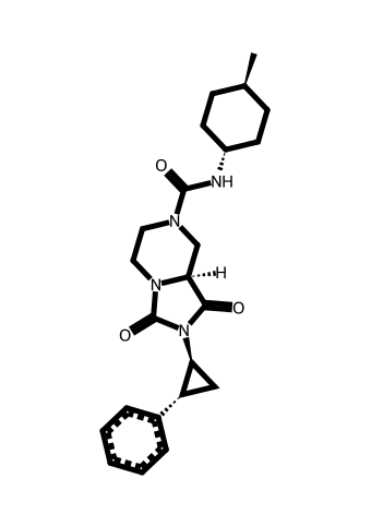 C[C@H]1CC[C@H](NC(=O)N2CCN3C(=O)N([C@H]4C[C@@H]4c4ccccc4)C(=O)[C@@H]3C2)CC1